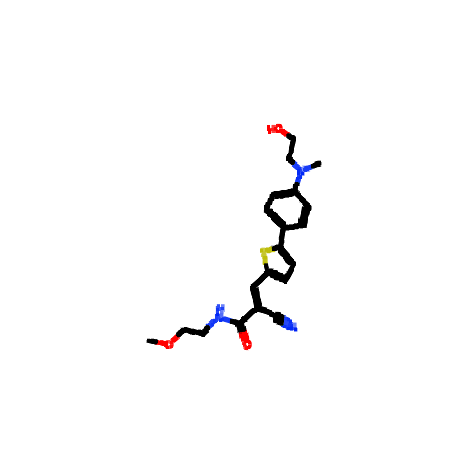 COCCNC(=O)/C(C#N)=C/c1ccc(-c2ccc(N(C)CCO)cc2)s1